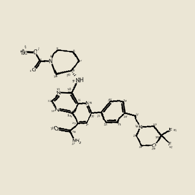 CC(C)(C)OC(=O)N1CCC[C@H](Nc2ncnc3c(C(N)=O)cc(-c4ccc(CN5CCOC(F)(F)C5)cc4)nc23)C1